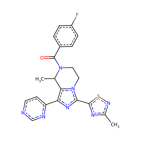 Cc1nsc(-c2nc(-c3ccncn3)c3n2CCN(C(=O)c2ccc(F)cc2)C3C)n1